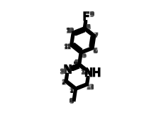 CC1CN=C(c2ccc(F)cc2)NC1